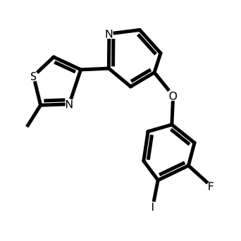 Cc1nc(-c2cc(Oc3ccc(I)c(F)c3)ccn2)cs1